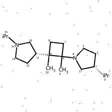 CC(C)[C@H]1CCN(C2(C)CCC2(C)[C@@H]2CCN(C(C)C)C2)C1